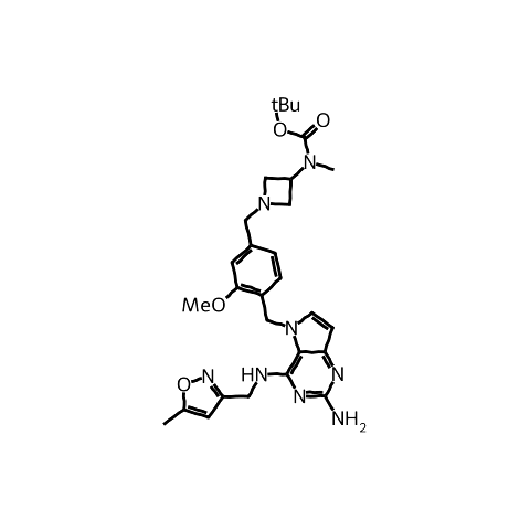 COc1cc(CN2CC(N(C)C(=O)OC(C)(C)C)C2)ccc1Cn1ccc2nc(N)nc(NCc3cc(C)on3)c21